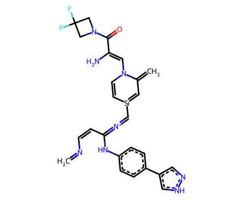 C=N/C=C\C(=[N+]=C[Si]1=CC(=C)N(/C=C(\N)C(=O)N2CC(F)(F)C2)C=C1)Nc1ccc(-c2cn[nH]c2)cc1